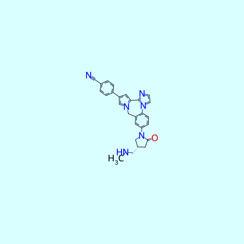 CNC[C@H]1CC(=O)N(c2ccc3c(c2)Cn2cc(-c4ccc(C#N)cc4)cc2-c2nccn2-3)C1